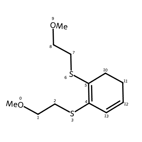 COCCSC1=C(SCCOC)CCC=C1